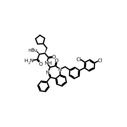 CCCC[C@H](C(N)=O)[C@@H](CC1CCCC1)C(=O)NC1N=C(c2ccccc2)c2ccccc2N(Cc2cccc(-c3ccc(Cl)cc3Cl)c2)C1=O